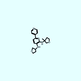 CC1(Nc2nc(-c3ccncc3)ccc2NC2CCOC2)CCOC1